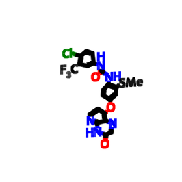 CSc1cc(Oc2ccnc3[nH]c(=O)cnc23)ccc1NC(=O)Nc1ccc(Cl)c(C(F)(F)F)c1